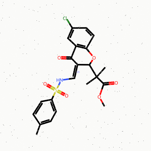 COC(=O)C(C)(C)C1Oc2ccc(Cl)cc2C(=O)/C1=C\NS(=O)(=O)c1ccc(C)cc1